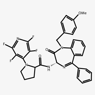 COc1ccc(CN2C(=O)[C@@H](NC(=O)C3CCCN3c3c(F)c(F)nc(F)c3F)N=C(c3ccccc3)c3ccccc32)cc1